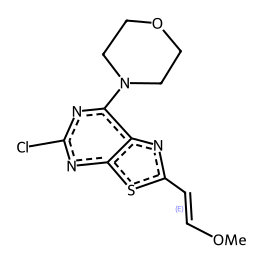 CO/C=C/c1nc2c(N3CCOCC3)nc(Cl)nc2s1